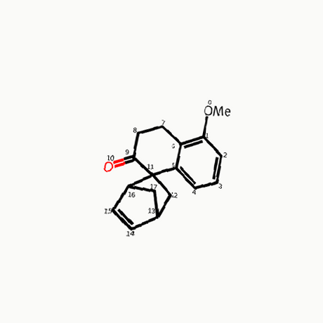 COc1cccc2c1CCC(=O)C21CC2C=CC1C2